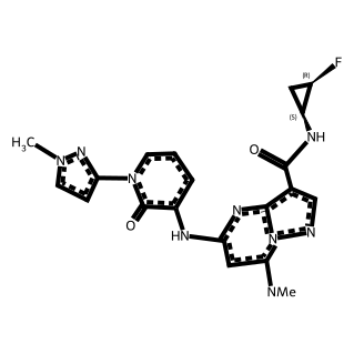 CNc1cc(Nc2cccn(-c3ccn(C)n3)c2=O)nc2c(C(=O)N[C@H]3C[C@H]3F)cnn12